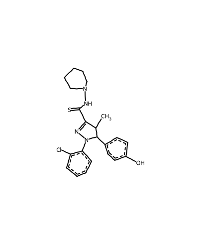 CC1C(C(=S)NN2CCCCC2)=NN(c2ccccc2Cl)C1c1ccc(O)cc1